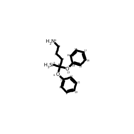 NCCCC([SiH3])(Oc1ccccc1)Oc1ccccc1